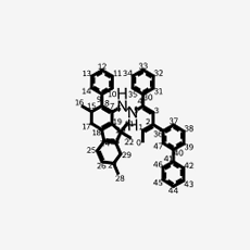 C/C=C(/C=C(\NNC1=C(c2ccccc2)C(C)CC2=C1C(C)(C)C1=C2C=CC(C)C1)c1ccccc1)c1cccc(-c2ccccc2)c1